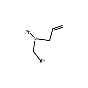 C=C[CH]N(CC(C)C)C(C)C